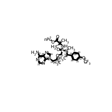 CCCOC(=O)C(C)(C)NP(=O)(CO[C@H](C)Cn1cnc2c(N)ncnc21)N(C)[C@H](C)c1ccc(OC(F)(F)F)cc1